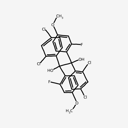 COc1ccc(C(O)(c2ccc(Cl)cc2Cl)C(O)(c2ccc(OC)cc2F)c2ccc(Cl)cc2Cl)c(F)c1